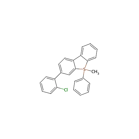 CS1(c2ccccc2)c2ccccc2-c2ccc(-c3ccccc3Cl)cc21